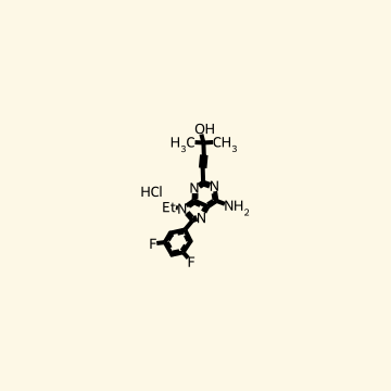 CCn1c(-c2cc(F)cc(F)c2)nc2c(N)nc(C#CC(C)(C)O)nc21.Cl